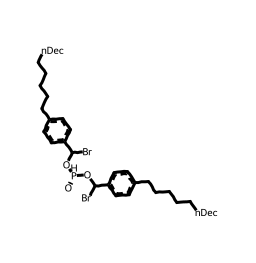 CCCCCCCCCCCCCCCc1ccc(C(Br)O[PH](=O)OC(Br)c2ccc(CCCCCCCCCCCCCCC)cc2)cc1